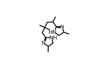 CC1CNC(CC(C)(C)CC(C)C2=NC(C)CN2)=N1